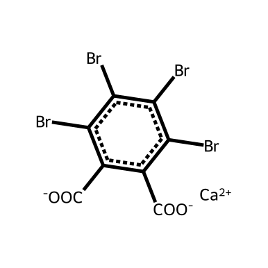 O=C([O-])c1c(Br)c(Br)c(Br)c(Br)c1C(=O)[O-].[Ca+2]